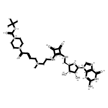 CN(CC=CC(=O)N1CCN(C(=O)OC(C)(C)C)CC1)CCNc1c(NC[C@H]2O[C@@H](n3cnc4c(=O)[nH]c(N)nc43)[C@H](O)[C@@H]2O)c(=O)c1=O